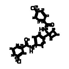 O=C(Nc1ccc(C2(NC(=O)c3ccc(Cl)cc3)CCC2)cc1)c1cccc(Cl)c1